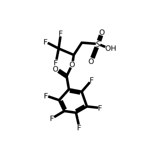 O=C(OC(CS(=O)(=O)O)C(F)(F)F)c1c(F)c(F)c(F)c(F)c1F